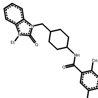 CCn1c(=O)n(CC2CCC(NC(=O)c3cc(Cl)cnc3C)CC2)c2ccccc21